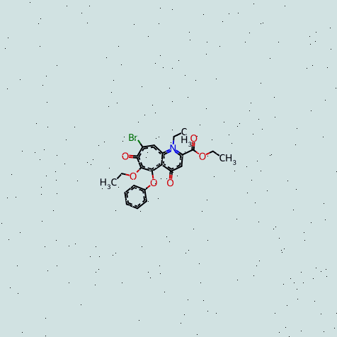 CCOC(=O)c1cc(=O)c2c(Oc3ccccc3)c(OCC)c(=O)c(Br)cc2n1CC